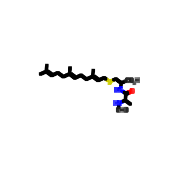 CC(C)=CCC/C(C)=C/CC/C(C)=C/CSCC(NC(=O)C(C)NC=O)C(=O)O